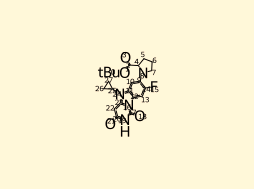 CC(C)(C)OC(=O)C1CCCN1c1cc2c(cc1F)n1c(=O)[nH]c(=O)cc1n2C1CC1